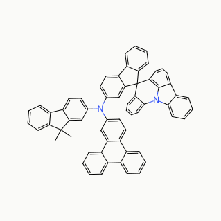 CC1(C)c2ccccc2-c2ccc(N(c3ccc4c(c3)C3(c5ccccc5-4)c4ccccc4-n4c5ccccc5c5cccc3c54)c3ccc4c5ccccc5c5ccccc5c4c3)cc21